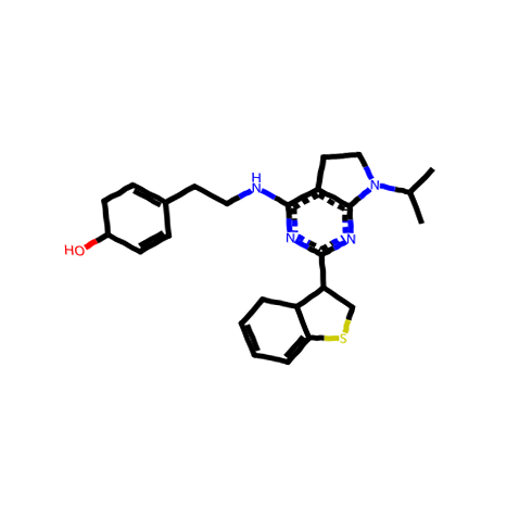 CC(C)N1CCc2c(NCCC3=CCC(O)C=C3)nc(C3CSC4=CC=CCC43)nc21